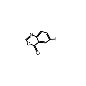 O=c1ocnc2ccc(I)cc12